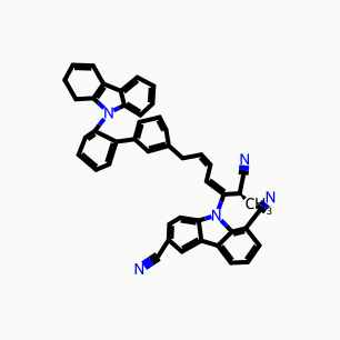 C[C@H](C#N)/C(=C\C=C/Cc1cccc(-c2ccccc2-n2c3c(c4ccccc42)C=CCC3)c1)n1c2ccc(C#N)cc2c2cccc(C#N)c21